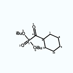 CC(C)COP(=O)(OCC(C)C)C(=O)C1CCCCC1